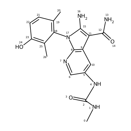 CNC(=O)Nc1cnc2c(c1)c(C(N)=O)c(N)n2-c1c(C)ccc(O)c1C